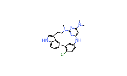 Cc1cc(Nc2cc(N(C)C)nc(N(C)CCc3c[nH]c4ccccc34)n2)ccc1Cl